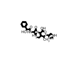 CC(Sc1c[nH]nn1)C1=C(C(=O)O)N2C(=O)C(NC(=O)C(O)c3ccccc3)[C@@H]2SC1